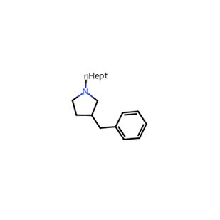 CCCCCCCN1CCC(Cc2ccccc2)C1